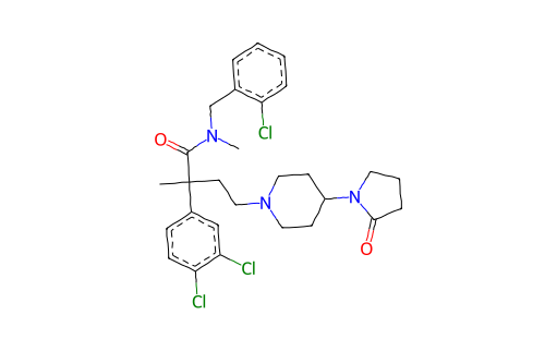 CN(Cc1ccccc1Cl)C(=O)C(C)(CCN1CCC(N2CCCC2=O)CC1)c1ccc(Cl)c(Cl)c1